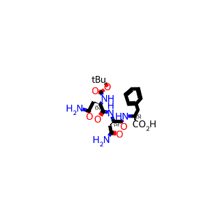 CC(C)(C)OC(=O)N[C@@H](CC(N)=O)C(=O)N[C@@H](CC(N)=O)C(=O)N[C@@H](Cc1ccccc1)C(=O)O